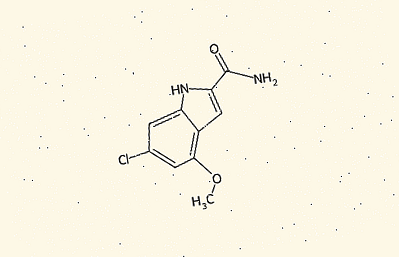 COc1cc(Cl)cc2[nH]c(C(N)=O)cc12